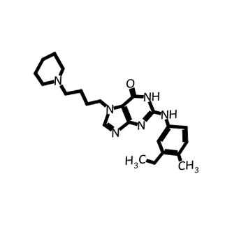 CCc1cc(Nc2nc3ncn(CCCCN4CCCCC4)c3c(=O)[nH]2)ccc1C